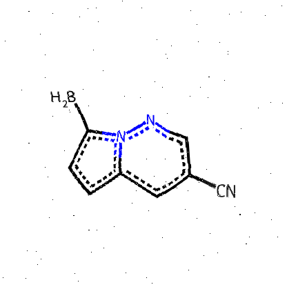 Bc1ccc2cc(C#N)cnn12